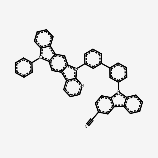 N#Cc1ccc2c(c1)c1ccccc1n2-c1cccc(-c2cccc(-n3c4cc5c6ccccc6n(-c6ccccc6)c5cc4c4cccnc43)c2)c1